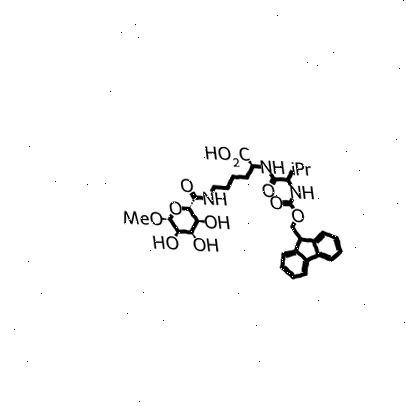 CO[C@@H]1O[C@H](C(=O)NCCCC[C@H](NC(=O)C(NC(=O)OCC2c3ccccc3-c3ccccc32)C(C)C)C(=O)O)[C@@H](O)[C@H](O)[C@H]1O